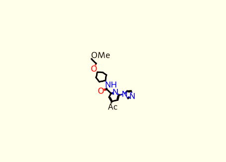 COCCOC1CCC(NC(=O)c2cc(C(C)=O)cc(-n3ccnc3)n2)CC1